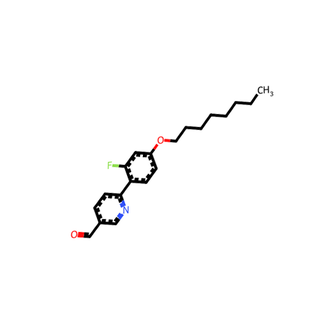 CCCCCCCCOc1ccc(-c2ccc(C=O)cn2)c(F)c1